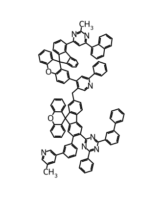 Cc1cncc(-c2cccc(-c3cc4c(cc3-c3nc(-c5ccccc5)nc(-c5cccc(-c6ccccc6)c5)n3)-c3ccc(Cc5cnc(-c6ccccc6)cc5-c5ccc6c(c5)C5(c7ccccc7O6)c6ccccc6-c6c(-c7cc(-c8cccc9ccccc89)nc(C)n7)cccc65)cc3C43c4ccccc4Oc4ccccc43)c2)c1